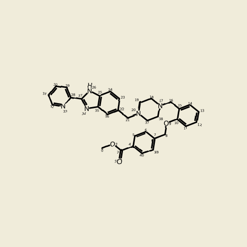 COC(=O)c1ccc(COc2ccccc2CN2CCN(Cc3ccc4[nH]c(-c5ccccn5)nc4c3)CC2)cc1